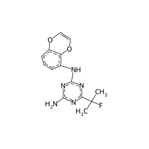 CC(C)(F)c1nc(N)nc(Nc2cccc3c2OC=CO3)n1